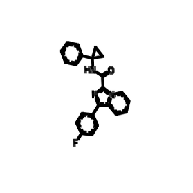 O=C(NC1(c2ccccc2)CC1)c1nc(-c2ccc(F)cc2)c2ccccn12